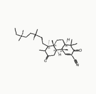 CCC(C)(C)CCC(C)(C)CC[C@]1(C)C(C)C(=O)C[C@@H]2[C@@]3(C)C=C(C#N)C(=O)C(C)(C)[C@@H]3CC[C@]21C